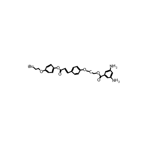 CCC(C)CCOc1ccc(OC(=O)C=Cc2ccc(OCCCOC(=O)c3cc(N)cc(N)c3)cc2)cc1